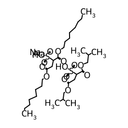 CC(C)COC(=O)CC(C(=O)OCC(C)C)S(=O)(=O)O.CCCCCCCCOC(=O)CC(C(=O)OCCCCCCCC)S(=O)(=O)O.[Na].[Na]